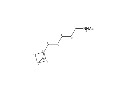 CC(=O)NCCCCCC12CC(C1)C2